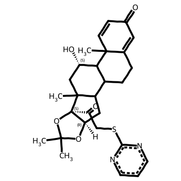 CC1(C)O[C@@H]2CC3C4CCC5=CC(=O)C=CC5(C)C4[C@@H](O)CC3(C)[C@]2(C(=O)CSc2ncccn2)O1